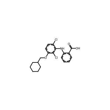 O=C(O)c1ccccc1Nc1c(Cl)ccc(OCC2CCCCC2)c1Cl